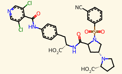 N#Cc1cccc(S(=O)(=O)N2C[C@H](N3CCC[C@@H]3C(=O)O)CC2C(=O)N[C@@H](Cc2ccc(NC(=O)c3c(Cl)cncc3Cl)cc2)C(=O)O)c1